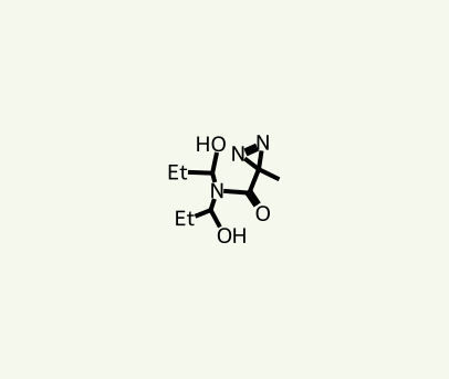 CCC(O)N(C(=O)C1(C)N=N1)C(O)CC